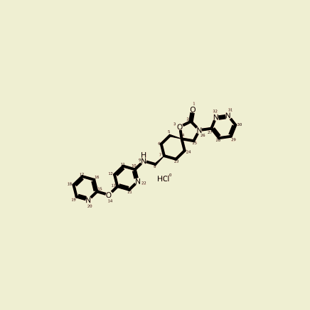 Cl.O=C1O[C@]2(CC[C@H](CNc3ccc(Oc4ccccn4)cn3)CC2)CN1c1cccnn1